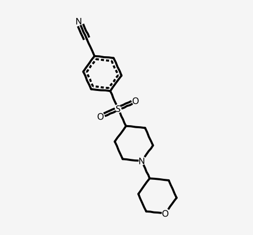 N#Cc1ccc(S(=O)(=O)C2CCN(C3CCOCC3)CC2)cc1